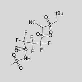 CC(C)(C)CS(=O)(=O)C(C#N)S(=O)(=O)C(F)(F)C(F)(F)C(F)(F)S(=O)(=O)NS(C)(=O)=O